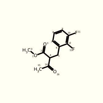 COC(=O)C(Cc1cccc(F)c1F)C(C)=O